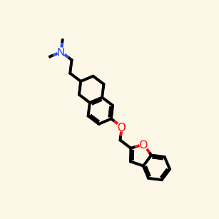 CN(C)CCC1CCc2cc(OCc3cc4ccccc4o3)ccc2C1